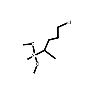 CO[Si](C)(OC)C(C)CCCCl